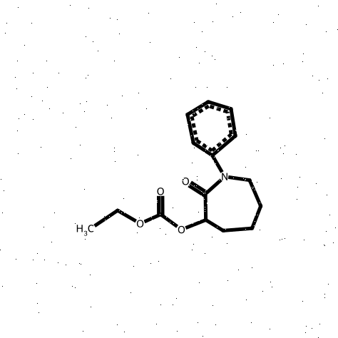 CCOC(=O)OC1CCCCN(c2ccccc2)C1=O